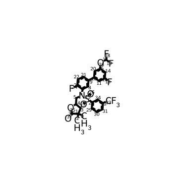 CC1(C)CC(CN(c2cc(-c3cc(F)cc(OC(F)F)c3)ccc2F)S(=O)(=O)c2cccc(C(F)(F)F)c2)OC1=O